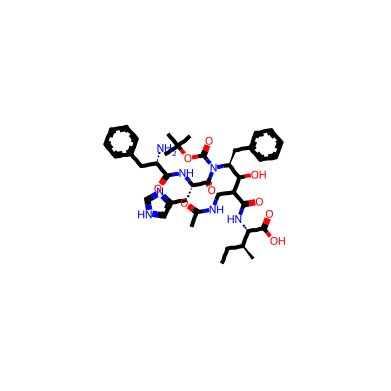 CC[C@H](C)[C@H](NC(=O)C(CNC(C)=O)C(O)[C@H](Cc1ccccc1)N(C(=O)OC(C)(C)C)C(=O)[C@H](Cc1c[nH]cn1)NC(=O)[C@@H](N)Cc1ccccc1)C(=O)O